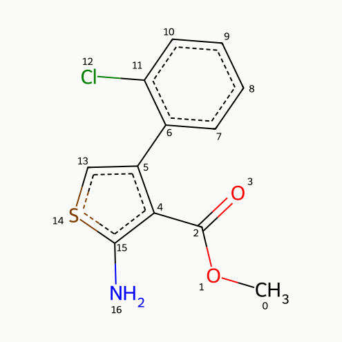 COC(=O)c1c(-c2ccccc2Cl)csc1N